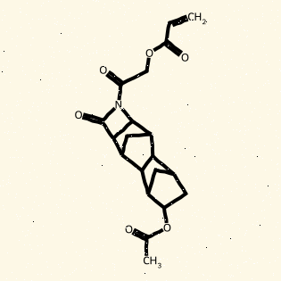 C=CC(=O)OCC(=O)N1C(=O)C2C3CC(C4C5CC(OC(C)=O)C(C5)C34)C21